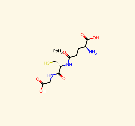 N[C@@H](CCC(=O)N[C@@H](CS)C(=O)NCC(=O)O)C(=O)O.[PbH2]